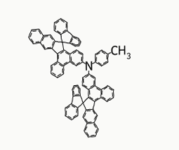 Cc1ccc(N(c2ccc3c4c(c5ccccc5c3c2)-c2cc3ccccc3cc2C42c3ccccc3-c3ccccc32)c2ccc3c4c(c5ccccc5c3c2)-c2cc3ccccc3cc2C42c3ccccc3-c3ccccc32)cc1